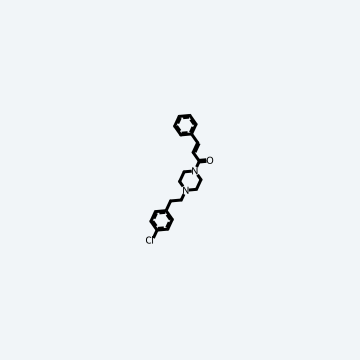 O=C(C=Cc1ccccc1)N1CCN(CCc2ccc(Cl)cc2)CC1